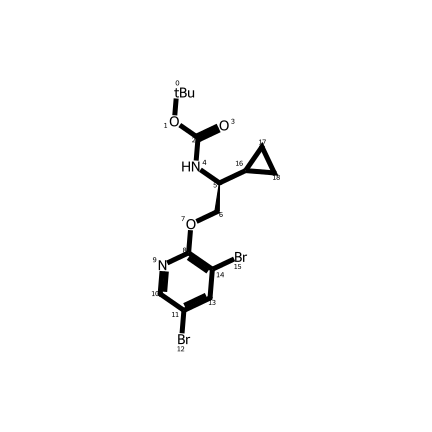 CC(C)(C)OC(=O)N[C@H](COc1ncc(Br)cc1Br)C1CC1